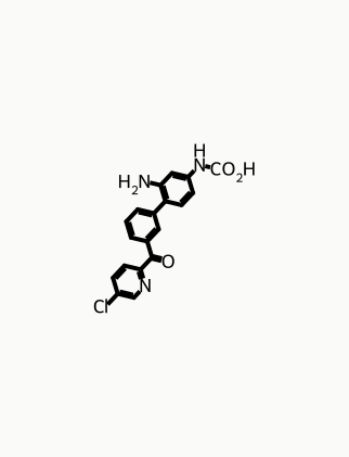 Nc1cc(NC(=O)O)ccc1-c1cccc(C(=O)c2ccc(Cl)cn2)c1